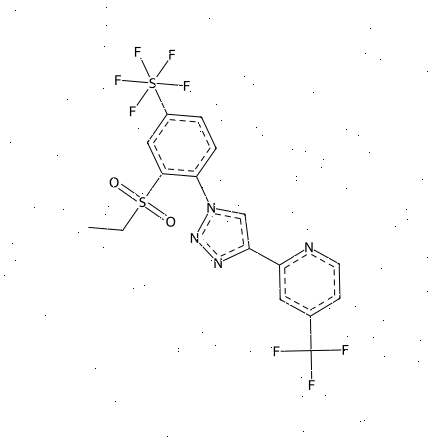 CCS(=O)(=O)c1cc(S(F)(F)(F)(F)F)ccc1-n1cc(-c2cc(C(F)(F)F)ccn2)nn1